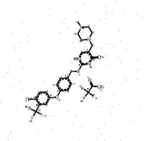 CN1CCN(Cc2c[nH]c(SCc3ccc(Oc4ccc(Cl)c(C(F)(F)F)c4)cc3)nc2=O)CC1.O=C(O)C(F)(F)F